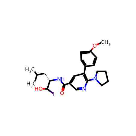 COc1ccc(-c2cc(C(=O)N[C@@H](CC(C)C)C(O)I)cnc2N2CCCC2)cc1